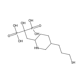 O=P(O)(O)C(O)(CC1CCC(CCCS)CN1)P(=O)(O)O